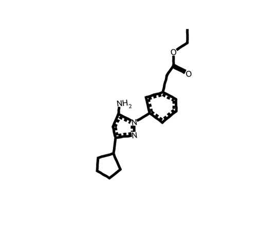 CCOC(=O)Cc1cccc(-n2nc(C3CCCC3)cc2N)c1